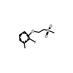 Cc1[c]ccc(OCCS(C)(=O)=O)c1F